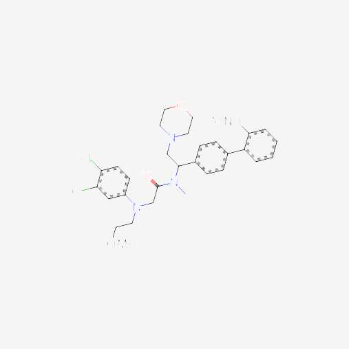 COCCN(CC(=O)N(C)C(CN1CCOCC1)c1ccc(-c2ccccc2NC(C)=O)cc1)c1ccc(Cl)c(Cl)c1